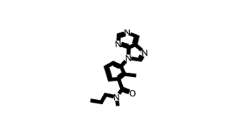 CCCN(C)C(=O)c1cccc(-n2cnc3cncnc32)c1C